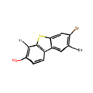 CCc1cc2c(cc1Br)sc1c(CC)c(O)ccc12